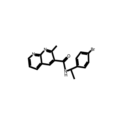 Cc1nc2ncccc2cc1C(=O)NC(C)c1ccc(Br)cc1